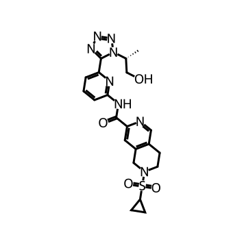 C[C@H](CO)n1nnnc1-c1cccc(NC(=O)c2cc3c(cn2)CCN(S(=O)(=O)C2CC2)C3)n1